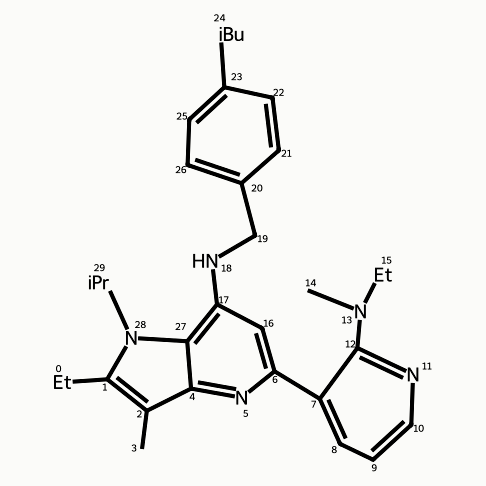 CCc1c(C)c2nc(-c3cccnc3N(C)CC)cc(NCc3ccc(C(C)CC)cc3)c2n1C(C)C